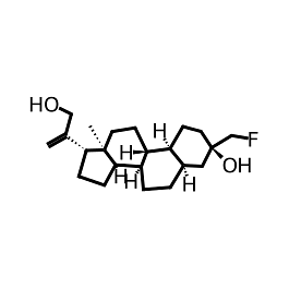 C=C(CO)[C@H]1CC[C@H]2[C@@H]3CC[C@@H]4C[C@@](O)(CF)CC[C@@H]4[C@H]3CC[C@]12C